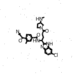 CNC1CCN(C(=O)CCC(NC(=O)c2ccc(C(=O)C#N)c(C)c2)c2nc3ccc(Cl)cc3[nH]2)C1